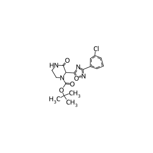 CC(C)(C)OC(=O)N1CCNC(=O)C1c1nc(-c2cccc(Cl)c2)no1